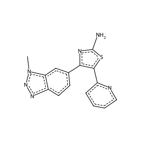 Cn1nnc2ccc(-c3nc(N)sc3-c3ccccn3)cc21